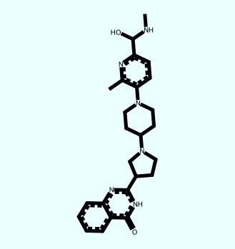 CNC(O)c1ccc(N2CCC(N3CCC(c4nc5ccccc5c(=O)[nH]4)C3)CC2)c(C)n1